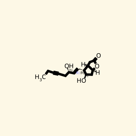 CCC#CC[C@H](O)/C=C/[C@@H]1[C@H]2CC(=O)O[C@H]2C[C@H]1O